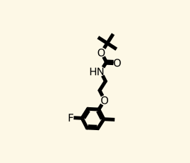 Cc1ccc(F)cc1OCCNC(=O)OC(C)(C)C